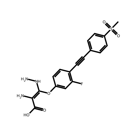 CS(=O)(=O)c1ccc(C#Cc2ccc(O/C(NN)=C(/N)C(=O)O)cc2F)cc1